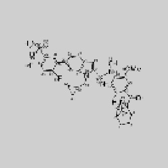 COc1cc(C(=O)N2CC3CCC2C3N)cc2nc(-c3cc4ccc(-c5cc(S(N)(=O)=O)c(F)cc5F)nc4n3CC3CC3)n(C)c12